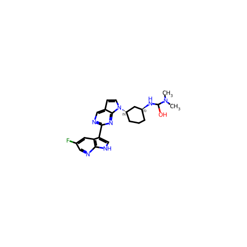 CN(C)C(O)N[C@H]1CCC[C@H](n2ccc3cnc(-c4c[nH]c5ncc(F)cc45)nc32)C1